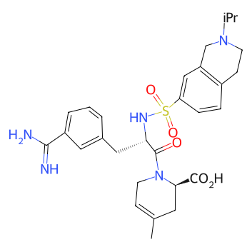 CC1=CCN(C(=O)[C@H](Cc2cccc(C(=N)N)c2)NS(=O)(=O)c2ccc3c(c2)CN(C(C)C)CC3)[C@@H](C(=O)O)C1